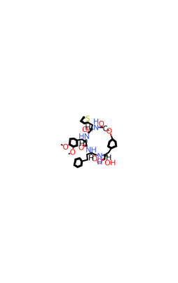 COc1ccc(C[C@@H]2NC(=O)[C@@H](Cc3cccs3)NC(=O)COc3ccc(cc3)C[C@@H](C(=O)O)NC(=O)[C@@H](CCc3ccccc3)NC2=O)cc1OC